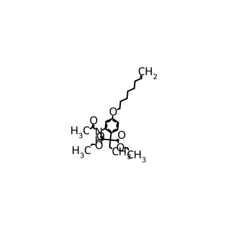 C=CCCCCCCOc1ccc(C(CC)(C(=O)OCC)C(=O)OCC)c(NC(C)=O)c1